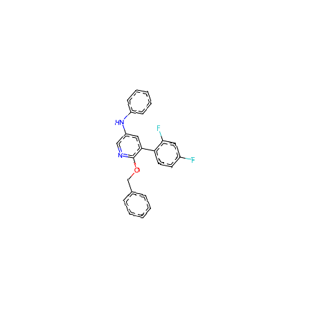 Fc1ccc(-c2cc(Nc3ccccc3)cnc2OCc2ccccc2)c(F)c1